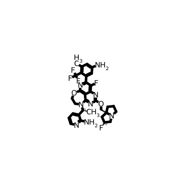 Cc1cc(N)cc(-c2nc3c4c(nc(OC[C@@]56CCCN5C[C@H](F)C6)nc4c2F)N([C@H](C)c2cccnc2N)CCO3)c1C(F)(F)F